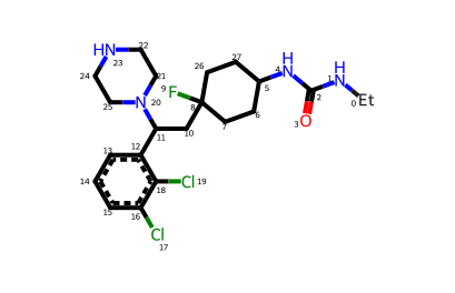 CCNC(=O)NC1CCC(F)(CC(c2cccc(Cl)c2Cl)N2CCNCC2)CC1